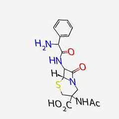 CC(=O)NC1(C(=O)O)CS[C@@H]2C(NC(=O)C(N)c3ccccc3)C(=O)N2C1